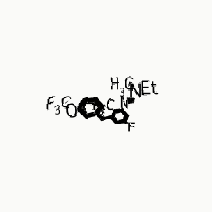 CCN(C)/C=N/c1cc(F)cc(Cc2cccc(OC(F)(F)F)c2)c1C